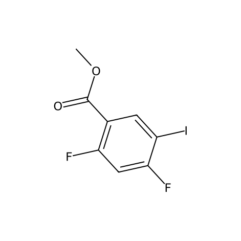 COC(=O)c1cc(I)c(F)cc1F